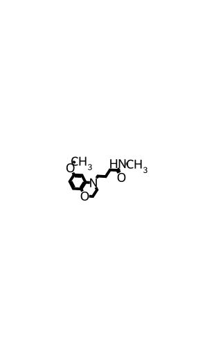 CNC(=O)CCCN1CCOc2ccc(OC)cc21